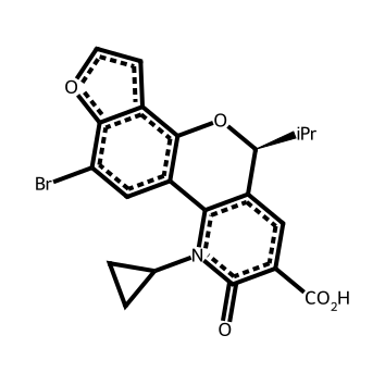 CC(C)[C@@H]1Oc2c(cc(Br)c3occc23)-c2c1cc(C(=O)O)c(=O)n2C1CC1